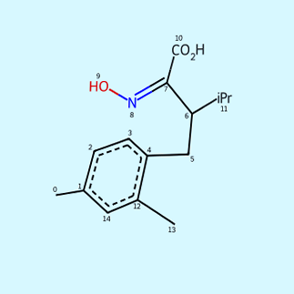 Cc1ccc(CC(C(=NO)C(=O)O)C(C)C)c(C)c1